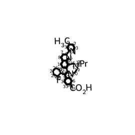 Cc1ccnc(-c2ccc3ccc4c(c3n2)CN(C(C)C)CCn2c-4c(C3CCCCC3F)c3ccc(C(=O)O)cc32)c1